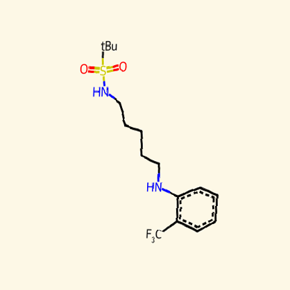 CC(C)(C)S(=O)(=O)NCCCCCNc1ccccc1C(F)(F)F